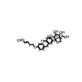 CCON=CCCOc1ccc(Cc2cc([C@]34OC[C@](CO)(O3)[C@@H](O)[C@H](O)[C@H]4O)ccc2Cl)cc1